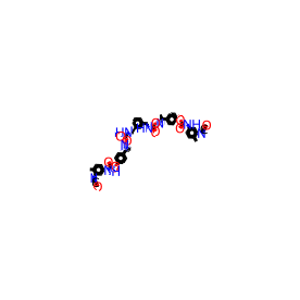 C/C(=N\OC(=O)NCc1cccc(CNC(=O)O/N=C(\C)c2ccc(OC(=O)Nc3ccc(C)c(N=C=O)c3)cc2)c1)c1ccc(OC(=O)Nc2ccc(C)c(N=C=O)c2)cc1